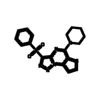 O=S(=O)(c1ccccc1)c1nnn2c1nc(N1CCCCC1)c1sccc12